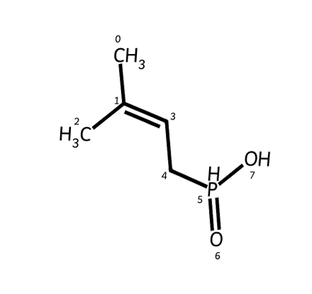 CC(C)=CC[PH](=O)O